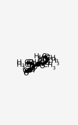 CC(=O)N[C@H](C(=O)N[C@@H](C)C(=O)Nc1ccc([C@@H](CNC(=O)OC(C)(C)C)OC(=O)Oc2ccc([N+](=O)[O-])cc2)cc1)C(C)C